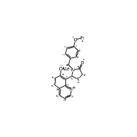 CCOc1ccc(CN2C(=O)CSC2c2c(OC)ccc3cccnc23)cc1